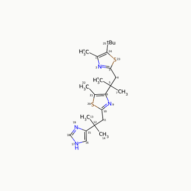 Cc1nc(CC(C)(C)c2nc(CC(C)(C)c3c[nH]cn3)sc2C)sc1C(C)(C)C